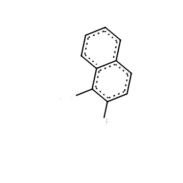 FC(F)(F)c1ccc2ccccc2c1C(Cl)(Cl)Cl